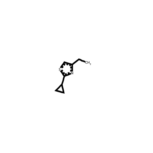 CCc1csc(C2CC2)n1